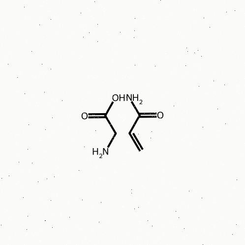 C=CC(N)=O.NCC(=O)O